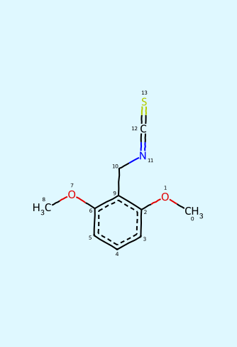 COc1cccc(OC)c1CN=C=S